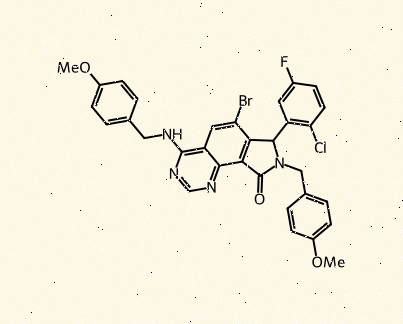 COc1ccc(CNc2ncnc3c4c(c(Br)cc23)C(c2cc(F)ccc2Cl)N(Cc2ccc(OC)cc2)C4=O)cc1